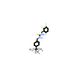 CC(C)(C)c1ccc(CNC(=S)NCc2c(F)ccc(F)c2F)cc1